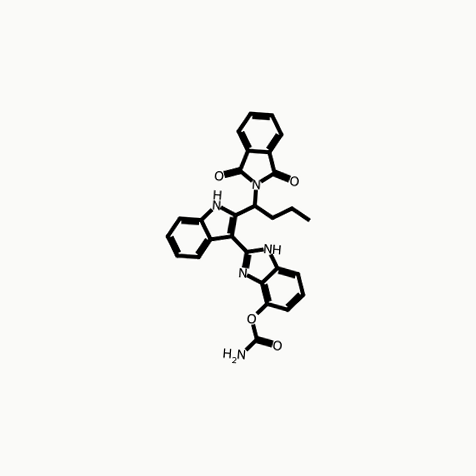 CCCC(c1[nH]c2ccccc2c1-c1nc2c(OC(N)=O)cccc2[nH]1)N1C(=O)c2ccccc2C1=O